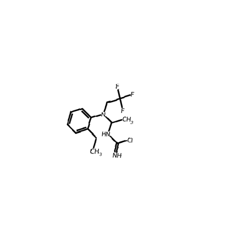 CCc1ccccc1N(CC(F)(F)F)C(C)NC(=N)Cl